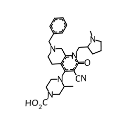 CC1CN(C(=O)O)CCN1c1c2c(n(CC3CCCN3C)c(=O)c1C#N)CN(Cc1ccccc1)CC2